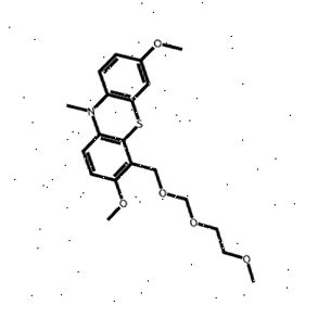 COCCOCOCc1c(OC)ccc2c1Sc1cc(OC)ccc1N2C